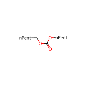 CCCCCCOC(=O)OCCCCC